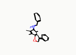 Cc1c(C)c2c(c(C)c1NCc1ccccc1)C(c1ccccc1)CO2